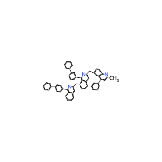 Cc1cc(-c2ccccc2)c2cc(Cc3cc4cccc(Cc5cc6ccccc6c(-c6ccc(-c7ccccc7)cc6)n5)c4c(-c4cccc(-c5ccccc5)c4)n3)ccc2n1